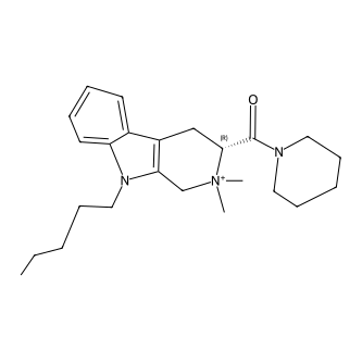 CCCCCn1c2c(c3ccccc31)C[C@H](C(=O)N1CCCCC1)[N+](C)(C)C2